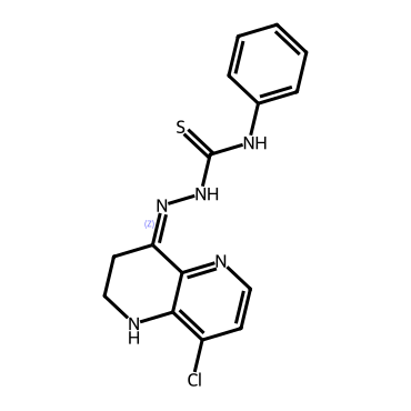 S=C(N/N=C1/CCNc2c(Cl)ccnc21)Nc1ccccc1